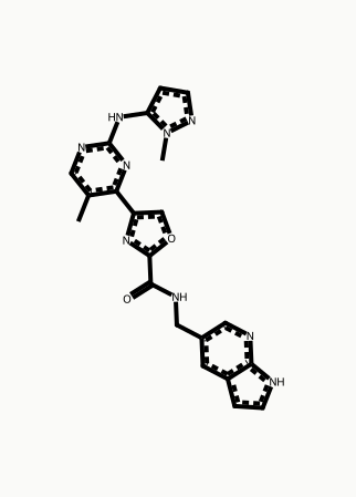 Cc1cnc(Nc2ccnn2C)nc1-c1coc(C(=O)NCc2cnc3[nH]ccc3c2)n1